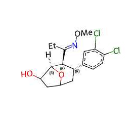 CCC(=NOC)[C@H]1[C@H](c2ccc(Cl)c(Cl)c2)CC2CC(O)[C@@H]1O2